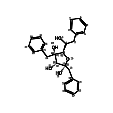 OC(Cc1ccccc1)[C@H]1O[C@@](O)(Cc2ccccc2)[C@H](O)[C@@]1(O)Cc1ccccc1